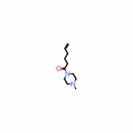 C=CCCCC(=O)N1CCN(C)CC1